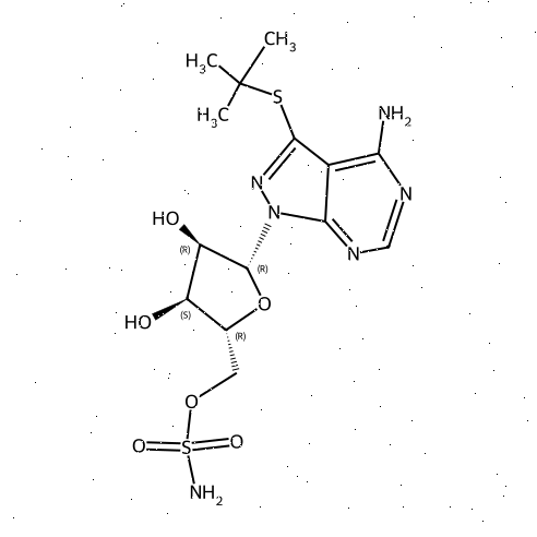 CC(C)(C)Sc1nn([C@@H]2O[C@H](COS(N)(=O)=O)[C@@H](O)[C@H]2O)c2ncnc(N)c12